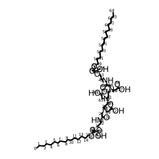 CCCCCCCCCCCCCCCCOP(=O)(O)OCCNC(=O)CN(CCN(CCN(CC(=O)O)CC(=O)NCCOP(=O)(O)OCCCCCCCCCCCCCCCC)CC(=O)O)CC(=O)O